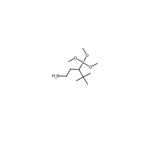 CO[Si](OC)(OC)C(CCN)C(C)(C)C